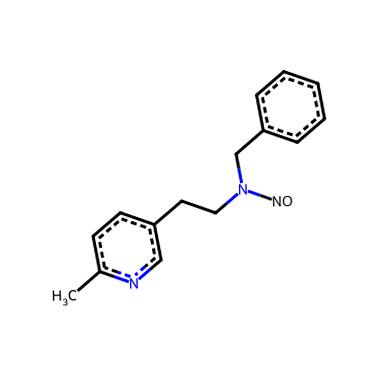 Cc1ccc(CCN(Cc2ccccc2)N=O)cn1